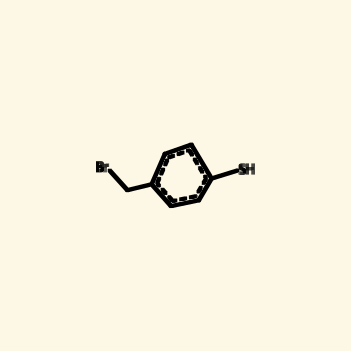 Sc1ccc(CBr)cc1